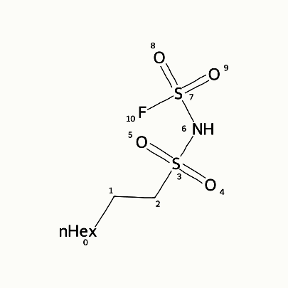 CCCCCCCCS(=O)(=O)NS(=O)(=O)F